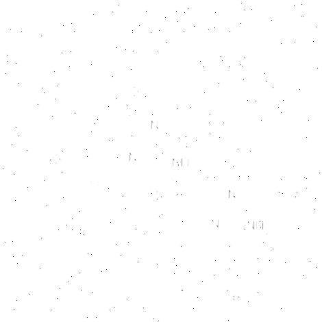 Cn1c(NC(=O)c2cnc(N)nc2)nc2c3c(ccc2c1=O)OCCO3